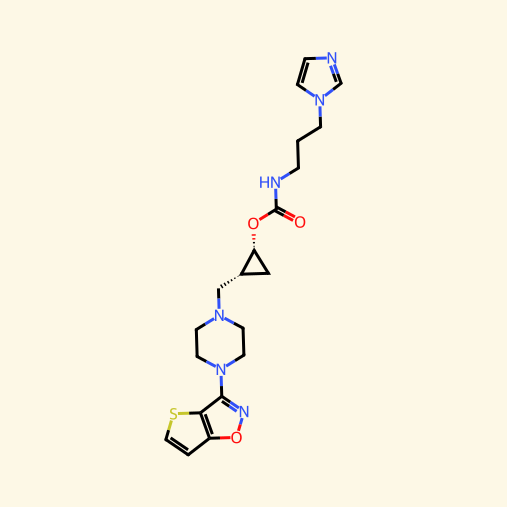 O=C(NCCCn1ccnc1)O[C@@H]1C[C@@H]1CN1CCN(c2noc3ccsc23)CC1